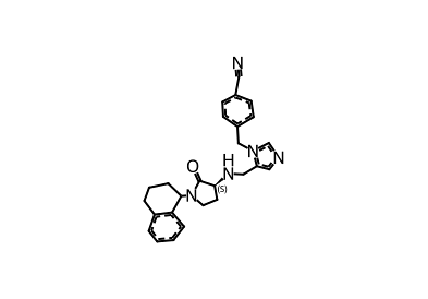 N#Cc1ccc(Cn2cncc2CN[C@H]2CCN(C3CCCc4ccccc43)C2=O)cc1